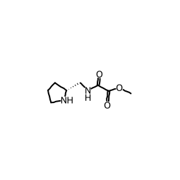 COC(=O)C(=O)NC[C@H]1CCCN1